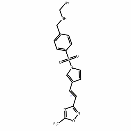 CC(C)CNCc1ccc(S(=O)(=O)n2ccc(/C=C/c3noc(C(F)(F)F)n3)c2)cc1